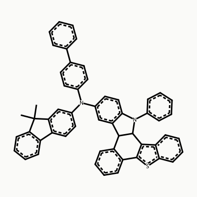 CC1(C)c2ccccc2-c2ccc(N(c3ccc(-c4ccccc4)cc3)c3ccc4c(c3)C3c5ccccc5-c5sc6ccccc6c5C3N4c3ccccc3)cc21